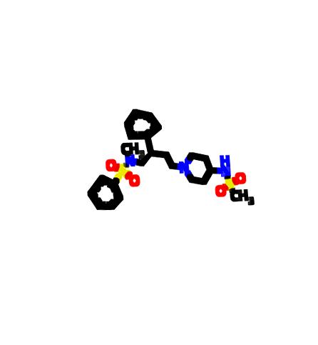 CN(C[C@H](CCN1CCC(NS(C)(=O)=O)CC1)c1ccccc1)S(=O)(=O)c1ccccc1